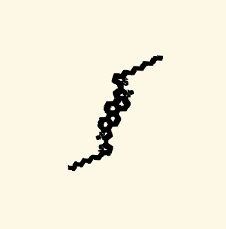 CCCCCCCCc1ccc(-c2cc3c4ccc5c(ccc6c5ccc5c6cc(-c6ccc(CCCCCCCC)s6)n5C)c4ccc3n2C)s1